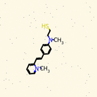 CN(CCS)c1ccc(/C=C/c2cccc[n+]2C)cc1